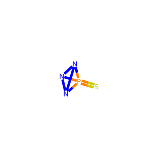 S=P12n3n1n32